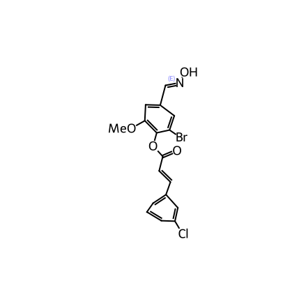 COc1cc(/C=N/O)cc(Br)c1OC(=O)C=Cc1cccc(Cl)c1